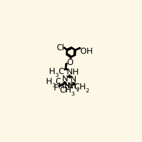 C=C(N)/N=C(\N=C(/N)C(C)(C)F)NC(C)COc1cc(Cl)cc(CO)c1